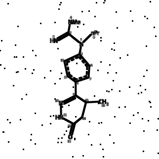 CCCN(C(=N)NC)c1ccc(C2=NNC(=O)CC2C)cc1